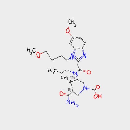 COCCCCn1c(C(=O)N(CC(C)C)[C@H]2C[C@@H](C(N)=O)CN(C(=O)O)C2)nc2ccc(OC)cc21